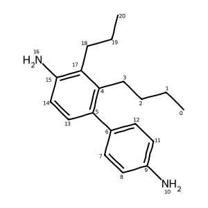 CCCCc1c(-c2ccc(N)cc2)ccc(N)c1CCC